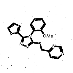 COc1ccccc1-n1c(SCc2ccncn2)nnc1-c1cccs1